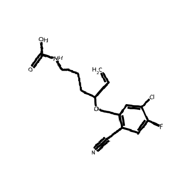 C=CC(CCCNC(=O)O)Oc1cc(Cl)c(F)cc1C#N